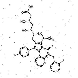 CC(C)n1c(CCC(O)CC(O)CC(=O)O)c(-c2ccc(F)cc2)c2c3ccccc3n(Cc3ccccc3F)c(=O)c21